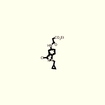 CCOC(=O)CC(=O)Nc1ccc2c(c1)c(Cl)nn2CC1CC1